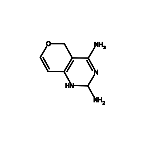 NC1=NC(N)NC2=C1COC=C2